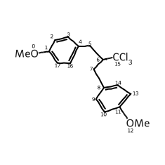 COc1ccc(C[C](Cc2ccc(OC)cc2)C(Cl)(Cl)Cl)cc1